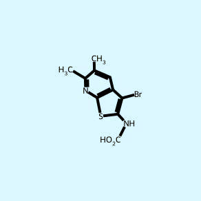 Cc1cc2c(Br)c(NC(=O)O)sc2nc1C